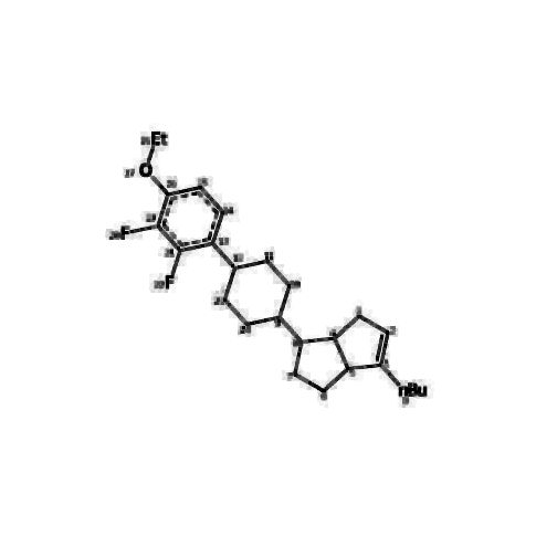 CCCCC1=CCC2C1CCC2C1CCC(c2ccc(OCC)c(F)c2F)CC1